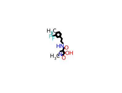 Cc1ccc(CCCNC(=O)C2=C(O)C(=O)N(C)C2)cc1C(F)(F)F